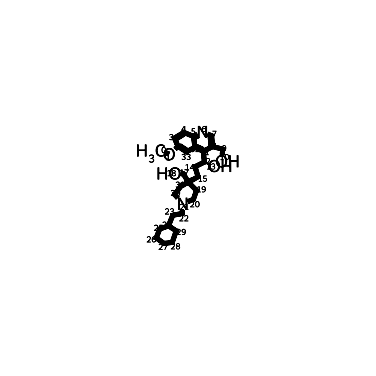 COc1ccc2ncc(CO)c([C@H](O)CCC3(CO)CCN(CCC4CCCCC4)CC3)c2c1